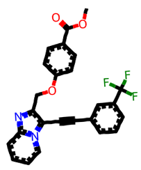 COC(=O)c1ccc(OCc2nc3ccccn3c2C#Cc2cccc(C(F)(F)F)c2)cc1